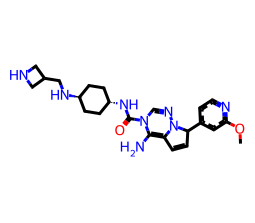 COc1cc(C2C=CC3=C(N)N(C(=O)N[C@H]4CC[C@H](NCC5CNC5)CC4)C=NN32)ccn1